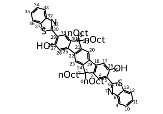 CCCCCCCCC1(CCCCCCCC)c2cc(-c3nc4ccccc4s3)c(O)cc2-c2cc3c(cc21)-c1cc(O)c(-c2nc4ccccc4s2)cc1C3(CCCCCCCC)CCCCCCCC